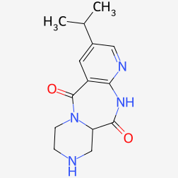 CC(C)c1cnc2c(c1)C(=O)N1CCNCC1C(=O)N2